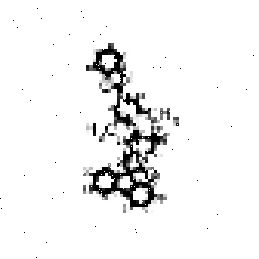 C[C@@H]1CN(c2nc3ccccc3o2)C[C@H](C)N1CCCCC1(C(=O)NCC(F)(F)F)c2ccccc2-c2ccccc21